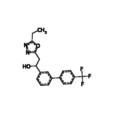 CCc1nnc(CC(O)c2cccc(-c3ccc(C(F)(F)F)cc3)c2)o1